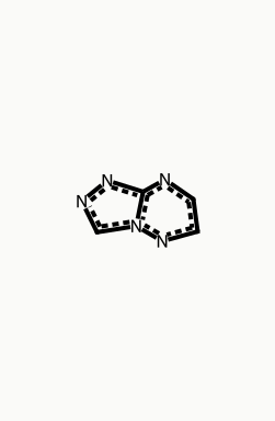 c1cnn2cnnc2n1